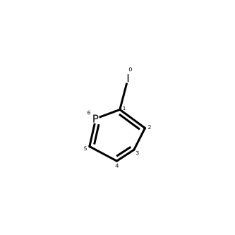 Ic1ccccp1